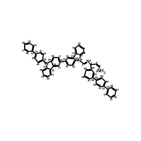 N/C=C\C(/N=C/n1c2ccccc2c2cc(-c3ccc4c(c3)c3ccccc3n4-c3ccc(-c4ccccc4)cc3)ccc21)c1cccc(-c2ccc(-c3ccccc3)cc2)c1